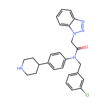 O=C(Cn1nnc2ccccc21)N(Cc1cccc(Cl)c1)c1ccc(C2CCNCC2)cc1